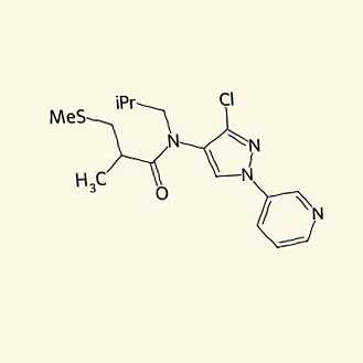 CSCC(C)C(=O)N(CC(C)C)c1cn(-c2cccnc2)nc1Cl